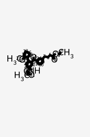 CCOC(=O)CCCc1cccc(C2Oc3cccc(OC)c3-c3ccc(NS(C)(=O)=O)cc32)c1